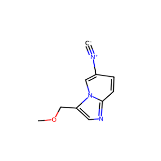 [C-]#[N+]c1ccc2ncc(COC)n2c1